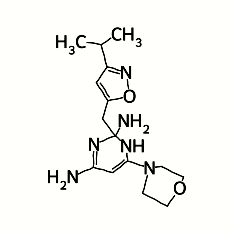 CC(C)c1cc(CC2(N)N=C(N)C=C(N3CCOCC3)N2)on1